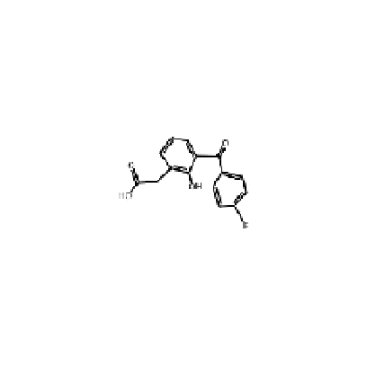 O=C(O)Cc1cccc(C(=O)c2ccc(F)cc2)c1O